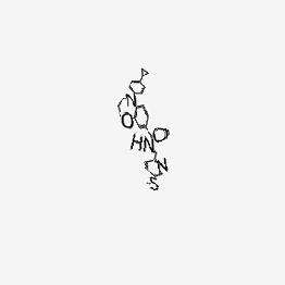 CSc1ccc(CNC(=O)c2ccc3c(c2)OCCCN3c2ccc(C3CC3)cc2)nc1